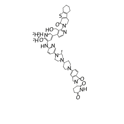 [2H]C([2H])([2H])Oc1ncc(-c2ccnc(N3CCc4c(sc5c4CCCC5)C3=O)c2CO)cc1Nc1ccc(N2CCN(C3CCN(c4ccc5c(c4)CN([C@H]4CCC(=O)NC4=O)C5=O)CC3)C[C@@H]2C)cn1